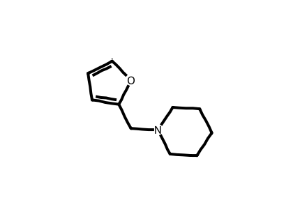 [c]1ccc(CN2CCCCC2)o1